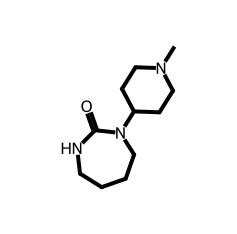 CN1CCC(N2CCCCNC2=O)CC1